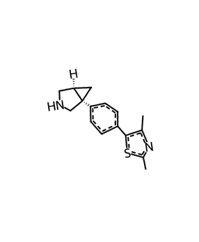 Cc1nc(C)c(-c2ccc([C@]34CNC[C@H]3C4)cc2)s1